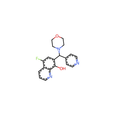 Oc1c(C(c2ccncc2)N2CCOCC2)cc(F)c2cccnc12